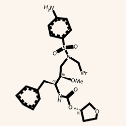 CO[C@H](CN(CC(C)C)S(=O)(=O)c1ccc(N)cc1)[C@H](Cc1ccccc1)NC(=O)O[C@H]1CCOC1